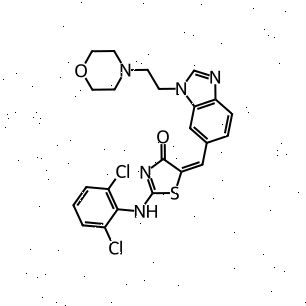 O=C1N=C(Nc2c(Cl)cccc2Cl)SC1=Cc1ccc2ncn(CCN3CCOCC3)c2c1